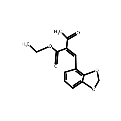 CCOC(=O)C(=Cc1cccc2c1OCO2)C(C)=O